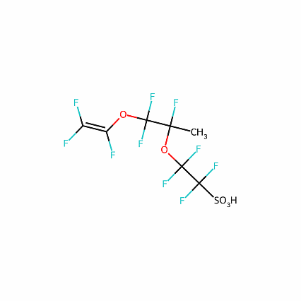 CC(F)(OC(F)(F)C(F)(F)S(=O)(=O)O)C(F)(F)OC(F)=C(F)F